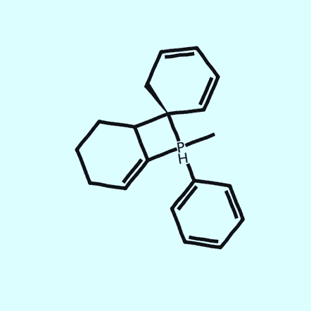 C[PH]1(c2ccccc2)C2=CCCCC2[C@]12C=CC=CC2